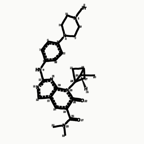 CC(C)N1CCN(c2ccc(Nc3ncc4cc(C(=O)N(C)C)c(=O)n(C56CC(C5)[C@H]6C)c4n3)cc2)CC1